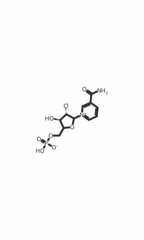 NC(=O)c1ccc[n+](C2OC(COP(=O)([O-])O)[C@@H](O)[C@@H]2Cl)c1